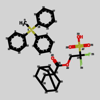 CS(c1ccccc1)(c1ccccc1)c1ccccc1.O=C(OCC(F)(F)S(=O)(=O)O)C12CC3CC(CC(C3)C1)C2